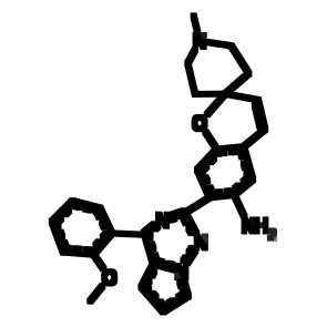 COc1ccccc1-c1nc(-c2cc3c(cc2N)C=CC2(CCN(C)CC2)O3)nn2cccc12